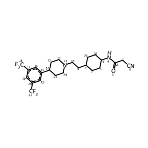 N#CCC(=O)NC1CCC(CCN2CCC(c3cc(C(F)(F)F)cc(C(F)(F)F)c3)CC2)CC1